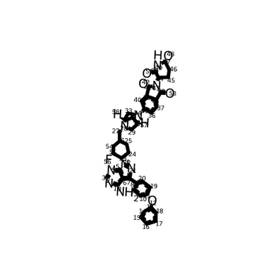 Nc1ncnc2c1c(-c1ccc(Oc3ccccc3)cc1)nn2C1CCC(CN2C[C@@H]3C[C@H]2CN3c2ccc3c(c2)C(=O)N(C2CCC(=O)NC2=O)C3=O)CC1F